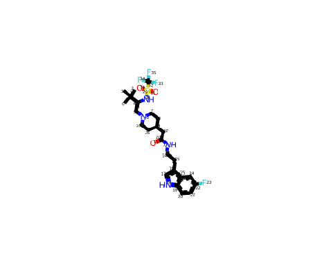 CC(C)(C)C(CN1CCC(CC(=O)NCCc2c[nH]c3ccc(F)cc23)CC1)NS(=O)(=O)C(F)(F)F